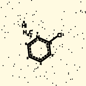 C.Clc1ccccn1.I